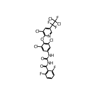 O=C(NC(=O)c1c(F)cccc1F)Nc1cc(Cl)c(Oc2ncc(C(F)(F)C(F)(Cl)Cl)cc2Cl)c(Cl)c1